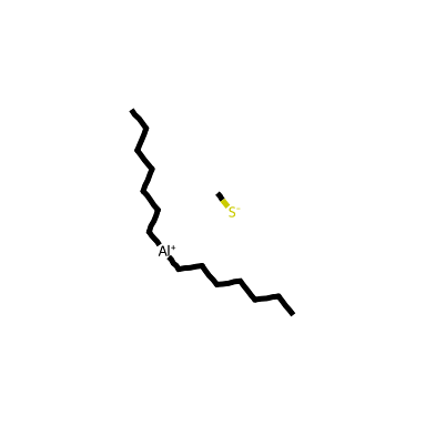 CCCCCC[CH2][Al+][CH2]CCCCCC.C[S-]